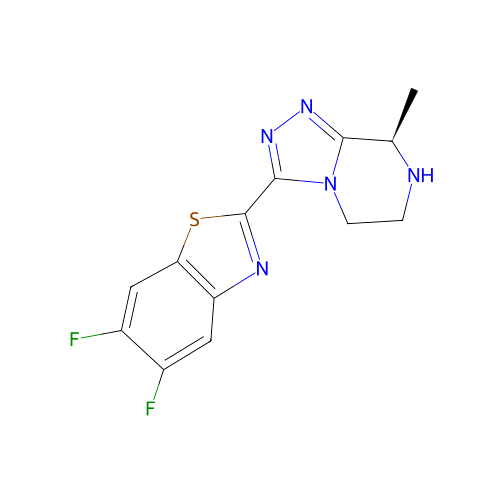 C[C@H]1NCCn2c(-c3nc4cc(F)c(F)cc4s3)nnc21